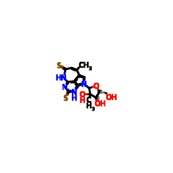 CC1=CC(=S)Nc2nc(=S)[nH]c3c2c1cn3C1O[C@H](CO)[C@@H](O)C1(C)O